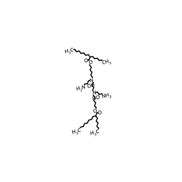 CCCCCCCCC(CCCCCC)C(=O)OCCCCCCN(CCCCN(CCCCCCOC(=O)C(CCCCCC)CCCCCCCC)CC(O)CN)CC(O)CN